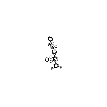 O=c1c(OC2CCCC2)c(N2CCN(S(=O)(=O)C[S+]([O-])c3ccccc3)CC2)cnn1-c1cc(F)cc(F)c1